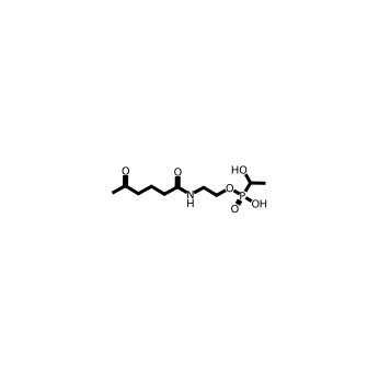 CC(=O)CCCC(=O)NCCOP(=O)(O)C(C)O